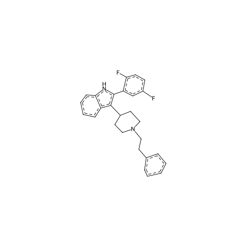 Fc1ccc(F)c(-c2[nH]c3ccccc3c2C2CCN(CCc3ccccc3)CC2)c1